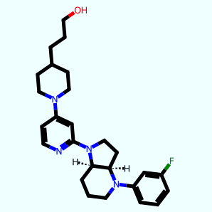 OCCCC1CCN(c2ccnc(N3CC[C@@H]4[C@H]3CCCN4c3cccc(F)c3)c2)CC1